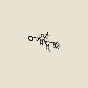 CC(C)(C)OC(=O)[C@@H](NC(=O)OCc1ccccc1)[C@H](CN)CCCB1OC(C)(C)C(C)(C)O1